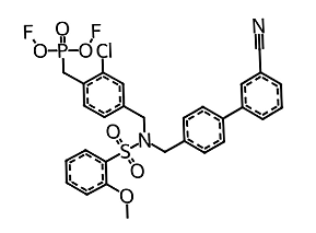 COc1ccccc1S(=O)(=O)N(Cc1ccc(-c2cccc(C#N)c2)cc1)Cc1ccc(CP(=O)(OF)OF)c(Cl)c1